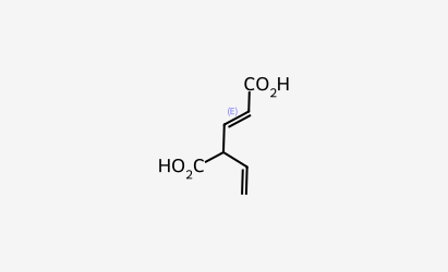 C=CC(/C=C/C(=O)O)C(=O)O